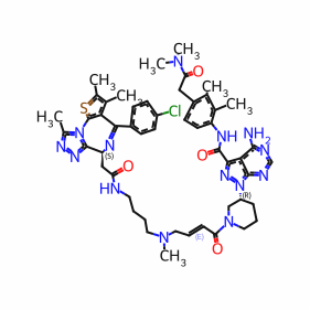 Cc1sc2c(c1C)C(c1ccc(Cl)cc1)=N[C@@H](CC(=O)NCCCCN(C)C/C=C/C(=O)N1CCC[C@@H](n3nc(C(=O)Nc4ccc(CC(=O)N(C)C)c(C)c4C)c4c(N)ncnc43)C1)c1nnc(C)n1-2